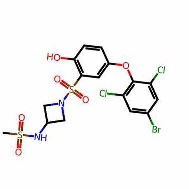 CS(=O)(=O)NC1CN(S(=O)(=O)c2cc(Oc3c(Cl)cc(Br)cc3Cl)ccc2O)C1